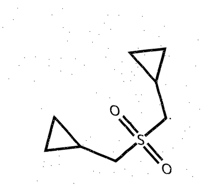 O=S(=O)([CH]C1CC1)CC1CC1